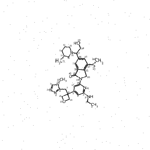 CCNc1cc(C2(Cc3nncn3C)COC2)cc(N2Cc3c(SC)cc(C(CO)N4CCC[C@H](C)C4)cc3C2=O)n1